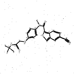 CN(C(=O)c1occ2cc(C#N)ccc12)c1ccc(OCC(=O)OC(C)(C)C)cc1